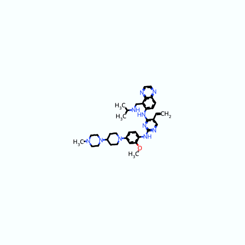 C=Cc1cnc(Nc2ccc(N3CCC(N4CCN(C)CC4)CC3)cc2OC)nc1Nc1ccc2nccnc2c1CNC(C)C